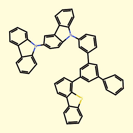 c1ccc(-c2cc(-c3cccc(-n4c5ccccc5c5cc(-n6c7ccccc7c7ccccc76)ccc54)c3)cc(-c3cccc4c3sc3ccccc34)c2)cc1